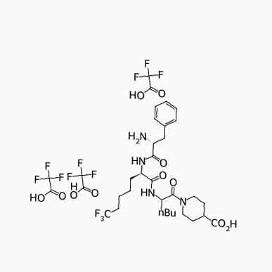 CCCCC(NC(=O)[C@@H](CCCCC(F)(F)F)NC(=O)[C@H](N)Cc1ccccc1)C(=O)N1CCC(C(=O)O)CC1.O=C(O)C(F)(F)F.O=C(O)C(F)(F)F.O=C(O)C(F)(F)F